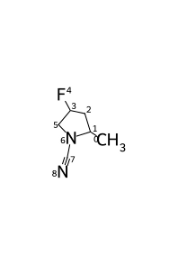 CC1CC(F)CN1C#N